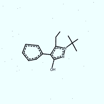 CCc1c(-c2ccccc2)c(O)nn1C(C)(C)C